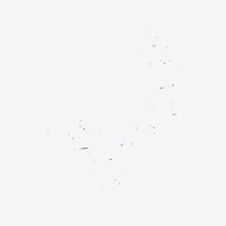 Cn1cc(-c2ccncc2/C=C/C(=O)Nc2ccc(CN3C4COCC3C4)cc2)cn1